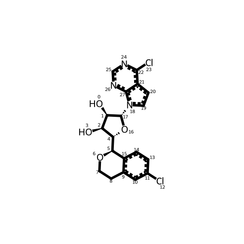 O[C@@H]1[C@H](O)[C@@H]([C@@H]2OCCc3cc(Cl)ccc32)O[C@H]1n1ccc2c(Cl)ncnc21